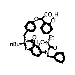 CCCCc1nc2ccc(N(Cc3ccccc3)C(=O)N(C)CC)cc2c(=O)n1Cc1ccc(OC(C(=O)O)c2ccccc2Cl)cc1